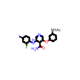 CC(=O)Nc1cccc(Oc2cncc(Nc3ccc(I)cc3F)c2C(N)=O)c1